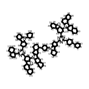 c1ccc(-c2ccc(-c3nc(-c4cc(-n5c6cc7ccccc7cc6c6c7ccccc7ccc65)c5oc6ccccc6c5c4)nc(-c4ccc5c(c4)c4ccccc4n5-c4ccc(-c5cccc6cc7c(cc56)c5cc6ccccc6cc5n7-c5cc(-c6nc(-c7ccc8c(c7)c7ccccc7n8-c7ccccc7)nc(-c7cccc8ccccc78)n6)cc6c5oc5c7ccccc7ccc65)cc4)n3)cc2)cc1